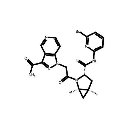 NC(=O)c1nn(CC(=O)N2[C@@H]3C[C@@H]3C[C@H]2C(=O)Nc2cccc(Br)n2)c2ccncc12